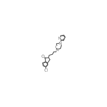 O=C1c2ccc(Cl)cc2CC1CCCCN1CCN(c2ccccn2)CC1